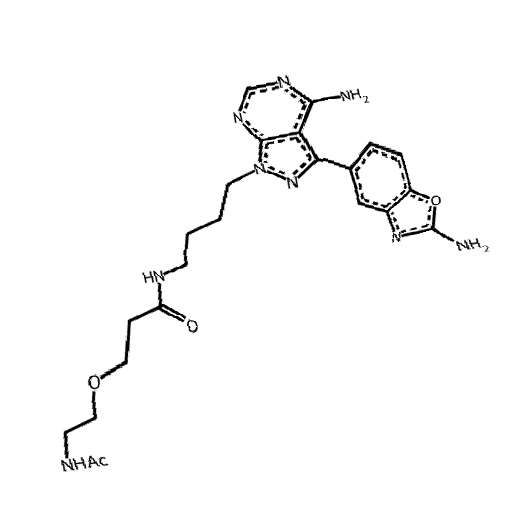 CC(=O)NCCOCCC(=O)NCCCCn1nc(-c2ccc3oc(N)nc3c2)c2c(N)ncnc21